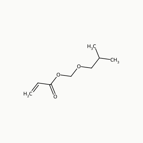 C=CC(=O)OCOCC(C)C